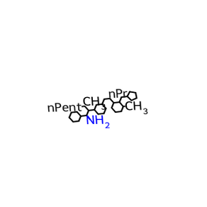 CCCCCC(C)C(C1CCCC(CC(CCC)C2CCCC(C)C2CC2CCCC2)C1)C(N)C1CCCCC1